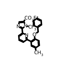 CCOC(=O)c1cnc(-c2cccc(-c3cc(C)ccc3OCc3ccccc3)n2)n1C(F)(F)F